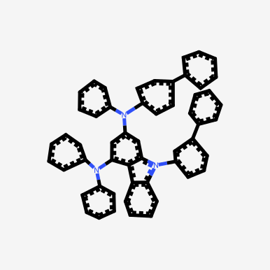 c1ccc(-c2ccc(N(c3ccccc3)c3cc(N(c4ccccc4)c4ccccc4)c4c5ccccc5n(-c5cccc(-c6ccccc6)c5)c4c3)cc2)cc1